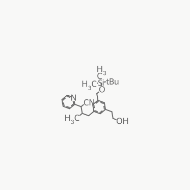 CC(Cc1cc(CCO)cc(CO[Si](C)(C)C(C)(C)C)c1)C(C#N)c1ccccn1